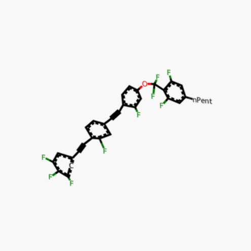 CCCCCc1cc(F)c(C(F)(F)Oc2ccc(C#Cc3ccc(C#Cc4cc(F)c(F)c(F)c4)c(F)c3)c(F)c2)c(F)c1